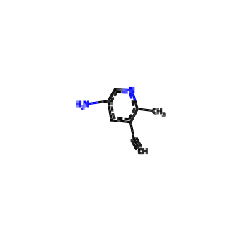 C#Cc1cc(N)cnc1C